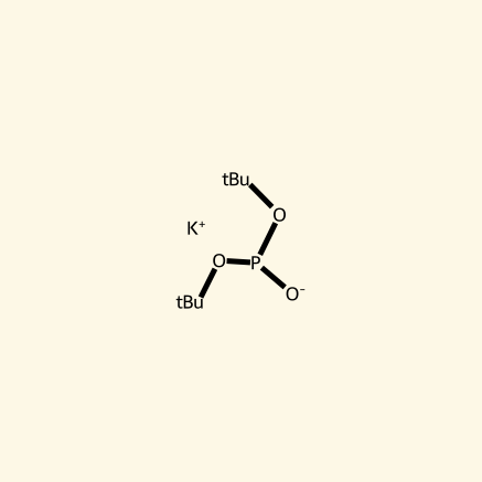 CC(C)(C)OP([O-])OC(C)(C)C.[K+]